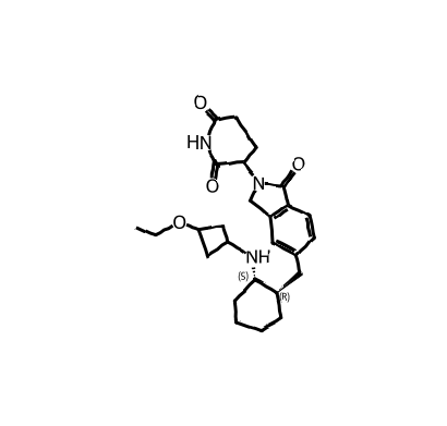 CCOC1CC(N[C@H]2CCCC[C@@H]2Cc2ccc3c(c2)CN(C2CCC(=O)NC2=O)C3=O)C1